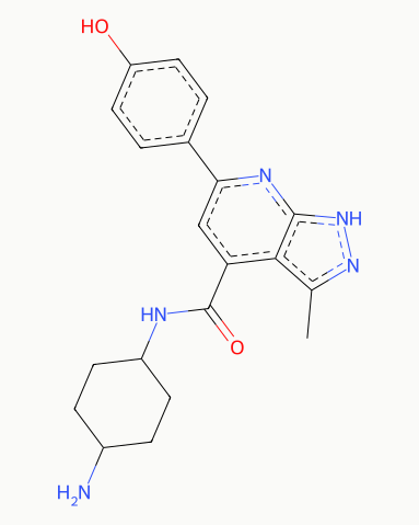 Cc1n[nH]c2nc(-c3ccc(O)cc3)cc(C(=O)NC3CCC(N)CC3)c12